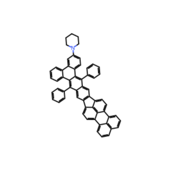 c1ccc(-c2c3cc4c(cc3c(-c3ccccc3)c3c5ccc(N6CCCCC6)cc5c5ccccc5c23)-c2ccc3c5cccc6cccc(c7ccc-4c2c73)c65)cc1